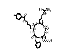 Cc1ccc(C(=O)NCCCC[C@@H]2NC(=O)[C@@H](Cc3ccccc3)NC(=O)[C@H](CC(=O)O)NC(=O)NC(=O)[C@H](CCCNC(=N)N)NC2=O)cc1